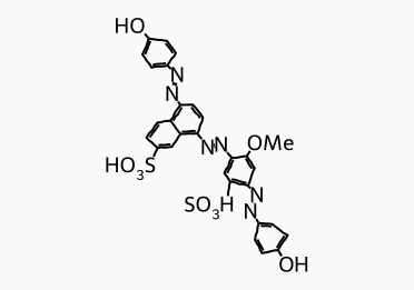 COc1cc(N=Nc2ccc(O)cc2)c(S(=O)(=O)O)cc1N=Nc1ccc(N=Nc2ccc(O)cc2)c2ccc(S(=O)(=O)O)cc12